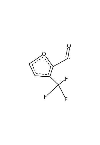 O=[C]c1occc1C(F)(F)F